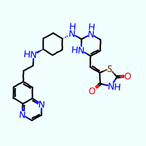 O=C1NC(=O)/C(=C/C2=CCNC(N[C@H]3CC[C@H](NCCc4ccc5nccnc5c4)CC3)N2)S1